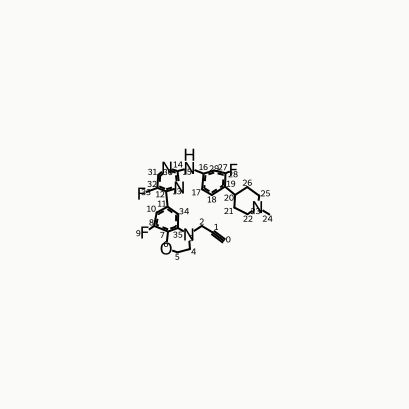 C#CCN1CCOc2c(F)cc(-c3nc(Nc4ccc(C5CCN(C)CC5)c(F)c4)ncc3F)cc21